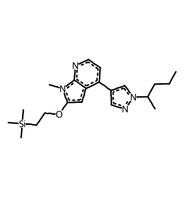 CCCC(C)n1cc(-c2ccnc3c2cc(OCC[Si](C)(C)C)n3C)cn1